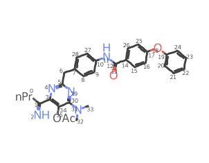 CCCC(=N)c1nc(Cc2ccc(NC(=O)c3ccc(Oc4ccccc4)cc3)cc2)nc(N(C)C)c1OC(C)=O